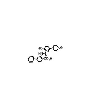 O=C(Nc1cc(-c2ccccc2)ccc1C(=O)O)c1cc(N2CC[S+]([O-])CC2)ccc1O